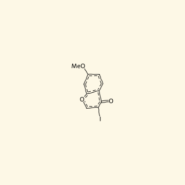 COc1ccc2c(=O)c(I)coc2c1